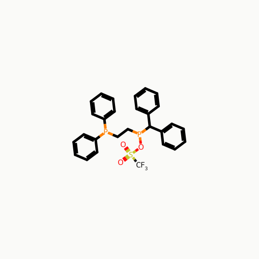 O=S(=O)(OP(CCP(c1ccccc1)c1ccccc1)C(c1ccccc1)c1ccccc1)C(F)(F)F